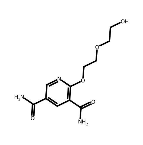 NC(=O)c1cnc(OCCOCCO)c(C(N)=O)c1